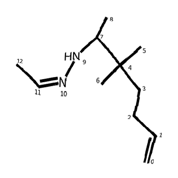 C=CCCC(C)(C)C(C)N/N=C\C